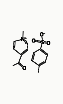 CC(=O)c1cc[n+](C)cc1.Cc1ccc(S(=O)(=O)[O-])cc1